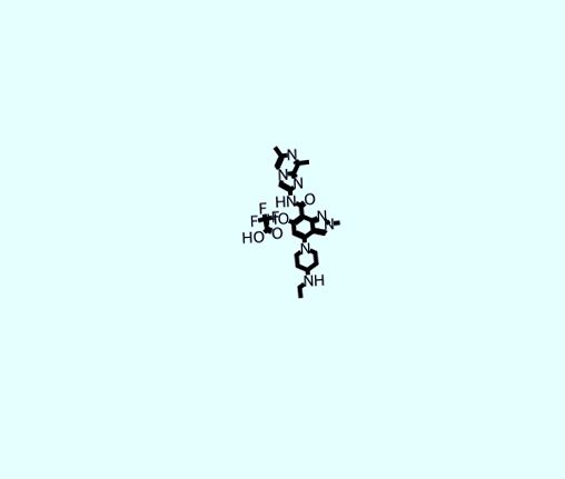 CCNC1CCN(c2cc(O)c(C(=O)Nc3cn4cc(C)nc(C)c4n3)c3nn(C)cc23)CC1.O=C(O)C(F)(F)F